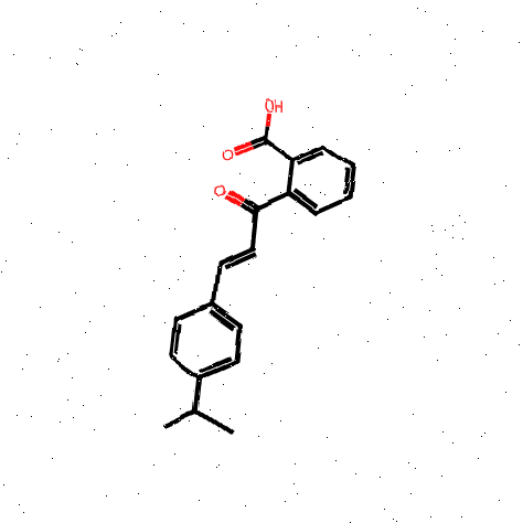 CC(C)c1ccc(/C=C/C(=O)c2ccccc2C(=O)O)cc1